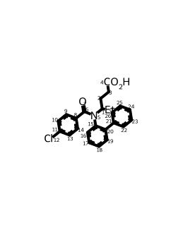 CCC(CCC(=O)O)N(C(=O)c1ccc(Cl)cc1)c1ccccc1-c1ccccc1